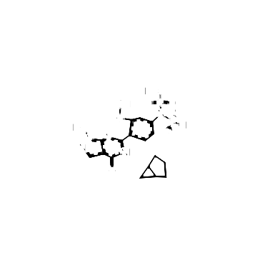 C1CC2CC2C1.COc1cc(N(S(C)(=O)=O)S(C)(=O)=O)ccc1-c1nc2c(cnn2C)c(=O)[nH]1